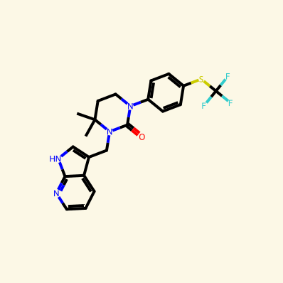 CC1(C)CCN(c2ccc(SC(F)(F)F)cc2)C(=O)N1Cc1c[nH]c2ncccc12